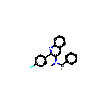 C[C@@H](c1ccccc1)N(C)c1cc2ccccc2nc1-c1ccc(F)cc1